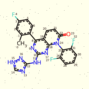 Cc1cc(F)ccc1-c1nc(Nc2nc[nH]n2)nc2c1ccc(=O)n2-c1c(F)cccc1F